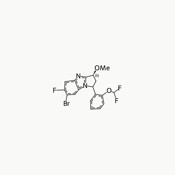 CO[C@H]1CC(c2ccccc2OC(F)F)n2c1nc1cc(F)c(Br)cc12